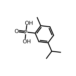 Cc1ccc(C(C)C)cc1P(=O)(O)O